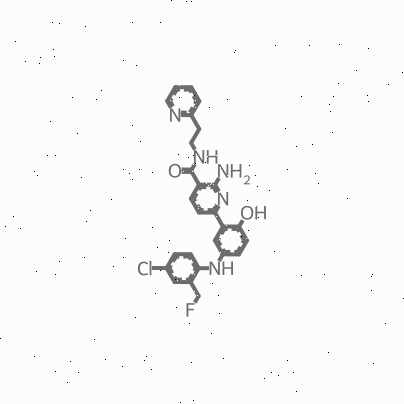 Nc1nc(-c2cc(Nc3ccc(Cl)cc3CF)ccc2O)ccc1C(=O)NCCc1ccccn1